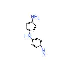 [N]=Nc1ccc(Nc2ccc(N)cc2)cc1